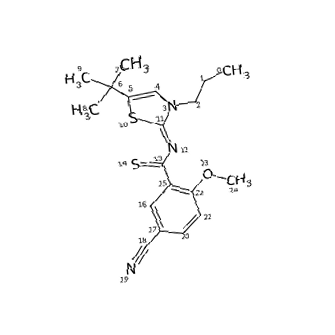 CCCn1cc(C(C)(C)C)sc1=NC(=S)c1cc(C#N)ccc1OC